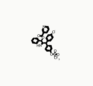 N=C(C(OC(=O)c1cccnc1)c1ccccc1)C(c1ccc(Cl)cc1)c1ccc(OS(=O)(=O)C(F)(F)F)cc1